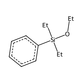 CCO[Si](CC)(CC)c1ccccc1